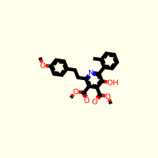 COC(=O)c1c(CCc2ccc(OC)cc2)nc(-c2ccccc2C)c(O)c1C(=O)OC